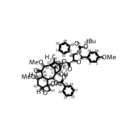 COc1ccc(C2O[C@@H](C(=O)O[C@H]3C[C@@]4(O)[C@@H](OC(=O)c5ccccc5)C5[C@](C)(C(=O)[C@H](OC)C(=C3C)C4(C)C)[C@@H](OC)C[C@H]3OC[C@@]53OC(C)=O)[C@H](c3ccccc3)N2C(=O)OC(C)(C)C)cc1